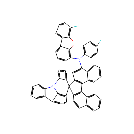 Fc1ccc(N(c2cc3c(c4ccccc24)-c2c(ccc4ccccc24)C32c3ccccc3-n3c4ccccc4c4cccc2c43)c2cccc3c2oc2c(F)cccc23)cc1